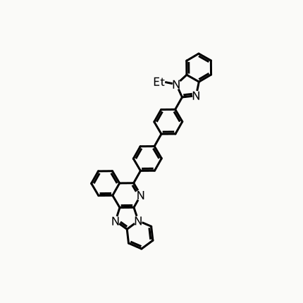 CCn1c(-c2ccc(-c3ccc(-c4nc5c(nc6ccccn65)c5ccccc45)cc3)cc2)nc2ccccc21